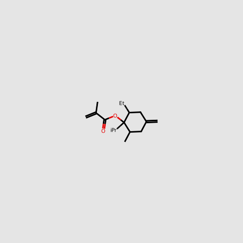 C=C1CC(C)C(OC(=O)C(=C)C)(C(C)C)C(CC)C1